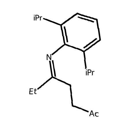 CC/C(CCC(C)=O)=N/c1c(C(C)C)cccc1C(C)C